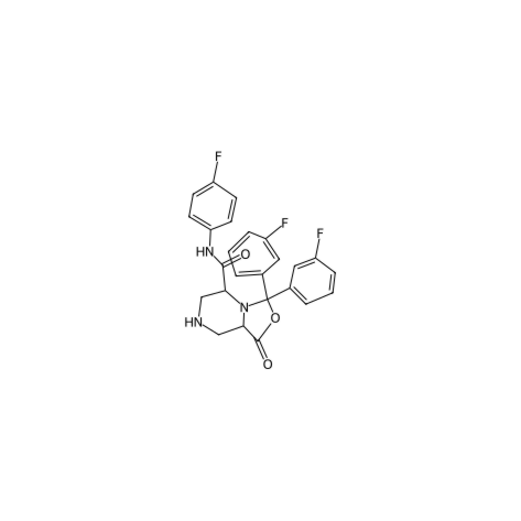 O=C(Nc1ccc(F)cc1)C1CNCC2C(=O)OC(c3cccc(F)c3)(c3cccc(F)c3)N12